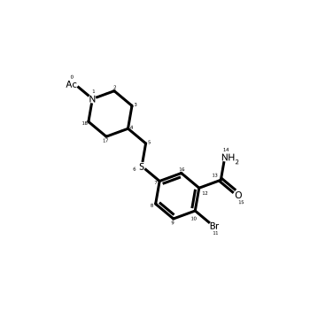 CC(=O)N1CCC(CSc2ccc(Br)c(C(N)=O)c2)CC1